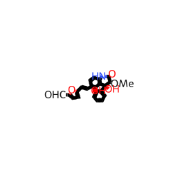 COC1C(=O)Nc2ccc(C=Cc3ccc(C=O)o3)c(O)c2C1(O)c1ccccc1